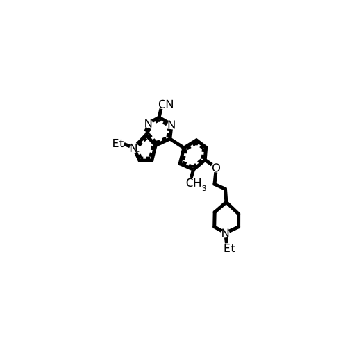 CCN1CCC(CCOc2ccc(-c3nc(C#N)nc4c3ccn4CC)cc2C)CC1